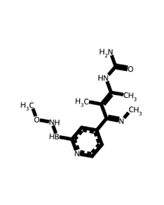 C/N=C(\C(C)=C(/C)NC(N)=O)c1ccnc(BNOC)c1